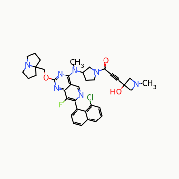 CN1CC(O)(C#CC(=O)N2CCC(N(C)c3nc(OCC45CCCN4CCC5)nc4c(F)c(-c5cccc6cccc(Cl)c56)ncc34)C2)C1